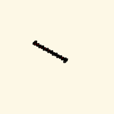 CC(C)C(=O)OCCOCCOCCOCCOCCOCCOCCOCCOCCOCCOCCOCCOCCOC(=O)C(C)C